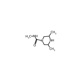 CNC(=O)N1CC(C)NC(C)C1